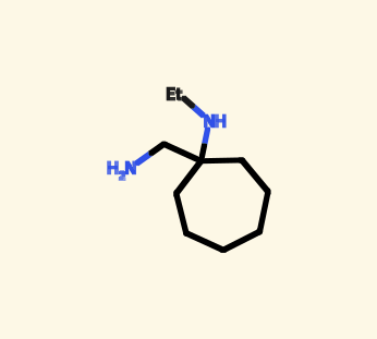 CCNC1(CN)CCCCCC1